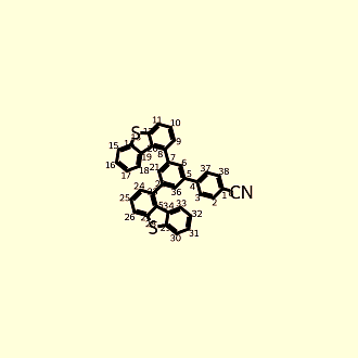 N#Cc1ccc(-c2cc(-c3cccc4sc5ccccc5c34)cc(-c3cccc4sc5ccccc5c34)c2)cc1